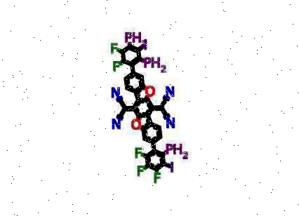 N#CC(C#N)=c1c2oc3cc(-c4c(F)c(F)c(F)c(I)c4P)ccc3c2c(=C(C#N)C#N)c2oc3cc(C4=C(P)C(I)=C(P)C(F)C4F)ccc3c12